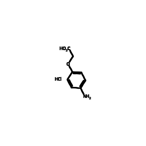 Cl.Nc1ccc(OCC(=O)O)cc1